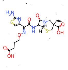 C=CC1(C(=O)O)CS[C@@H]2C(NC(=O)C(=NOCCCC(=O)O)c3csc(N)n3)C(=O)N2C1